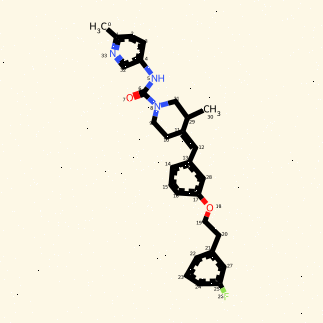 Cc1ccc(NC(=O)N2CCC(=Cc3cccc(OCCc4cccc(F)c4)c3)C(C)C2)cn1